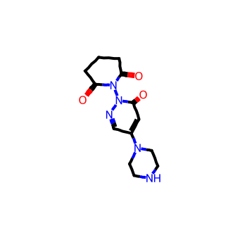 O=C1CCCC(=O)N1n1ncc(N2CCNCC2)cc1=O